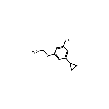 CCOc1cc(C)cc(C2CC2)c1